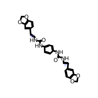 O=C(N/C=C/c1ccc2c(c1)OCO2)Nc1ccc(NC(=O)N/C=C/c2ccc3c(c2)OCO3)cc1